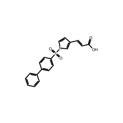 O=C(O)C=Cc1ccn(S(=O)(=O)c2ccc(-c3ccccc3)cc2)c1